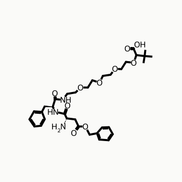 CC(C)(C)C(OCCOCCOCCOCCNC(=O)[C@H](Cc1ccccc1)NC(=O)[C@@H](N)CC(=O)OCc1ccccc1)C(=O)O